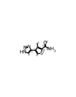 Cc1c(-c2c[nH]nn2)csc1C(N)=O